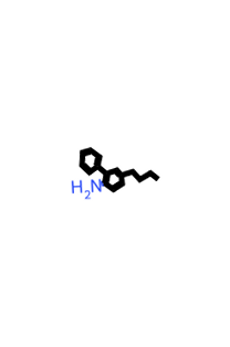 CCCCc1ccc(N)c(-c2ccccc2)c1